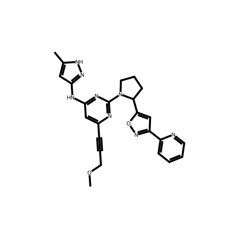 COCC#Cc1cc(Nc2cc(C)[nH]n2)nc(N2CCCC2c2cc(-c3ccccn3)no2)n1